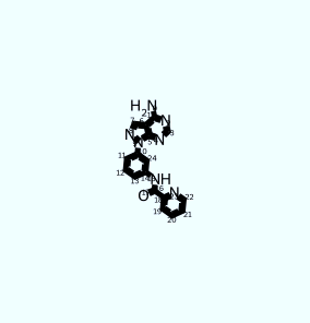 Nc1ncnc2c1cnn2-c1cccc(NC(=O)c2ccccn2)c1